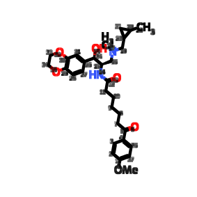 COc1ccc(C(=O)CCCCCC(=O)N[C@H](CN(C)CC2CC2C)[C@H](O)c2ccc3c(c2)OCCO3)cc1